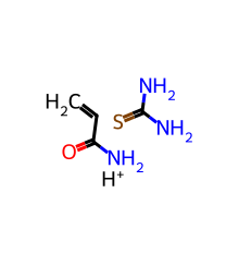 C=CC(N)=O.NC(N)=S.[H+]